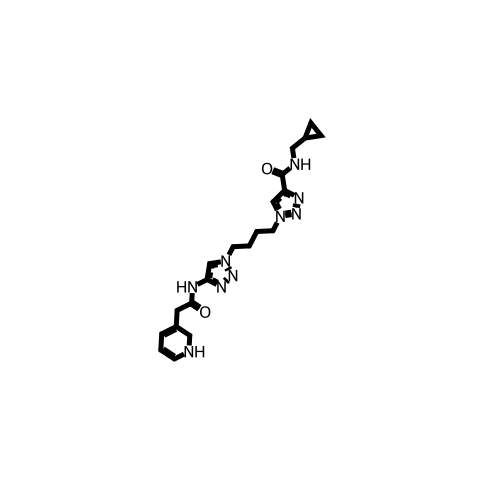 O=C(CC1=CC=CNC1)Nc1cn(CCCCn2cc(C(=O)NCC3CC3)nn2)nn1